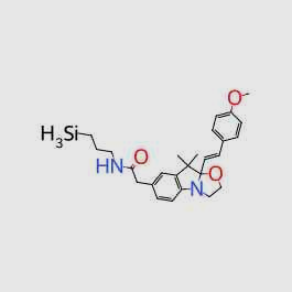 COc1ccc(/C=C/C23OCCN2c2ccc(CC(=O)NCCC[SiH3])cc2C3(C)C)cc1